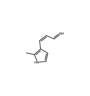 Cc1[nH]ccc1/C=C\C=N